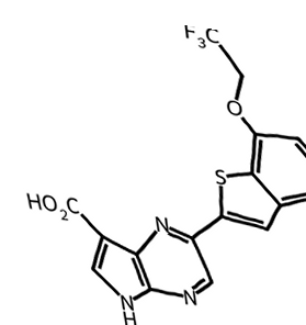 O=C(O)c1c[nH]c2ncc(-c3cc4nccc(OCC(F)(F)F)c4s3)nc12